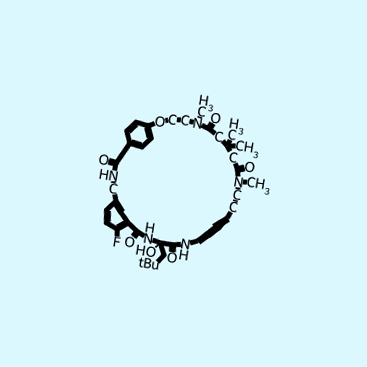 CN1CCOc2ccc(cc2)C(=O)NCc2ccc(F)c(c2)C(=O)N[C@](O)(CC(C)(C)C)C(=O)Nc2ccc(cc2)CCN(C)C(=O)CC(C)(C)CC1=O